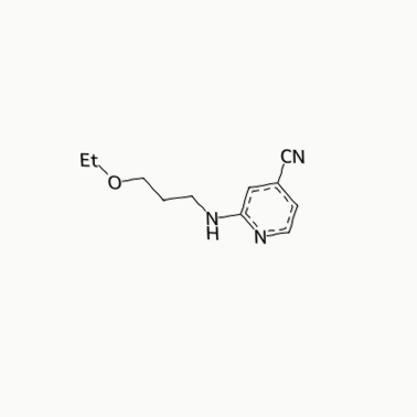 CCOCCCNc1cc(C#N)ccn1